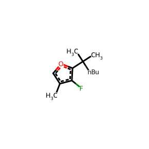 CCCCC(C)(C)c1occ(C)c1F